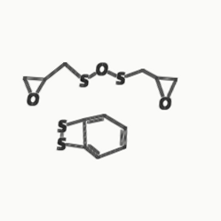 C1OC1CSOSCC1CO1.c1ccc2ssc2c1